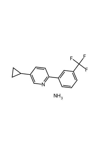 FC(F)(F)c1cccc(-c2ccc(C3CC3)cn2)c1.N